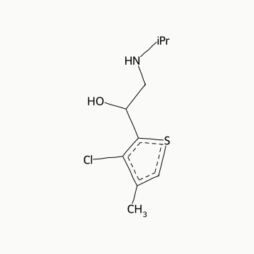 Cc1csc(C(O)CNC(C)C)c1Cl